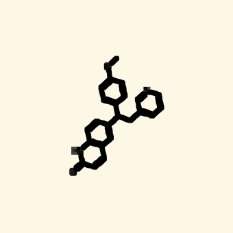 COc1ccc(C(Cc2cccnc2)c2ccc3[nH]c(=O)ccc3c2)cc1